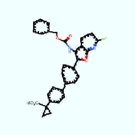 O=C(Nc1c(-c2ccc(-c3ccc(C4(C(=O)O)CC4)cc3)cc2)oc2nc(F)ccc12)OCc1ccccc1